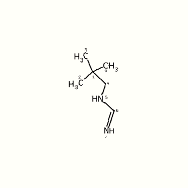 CC(C)(C)CNC=N